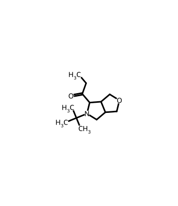 CCC(=O)C1C2COCC2CN1C(C)(C)C